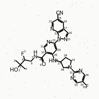 CC(C)(O)C(F)CNC(=O)c1cnc(-n2ncc3cc(C#N)cnc32)cc1NC1CCN(c2ncc(F)cn2)C1